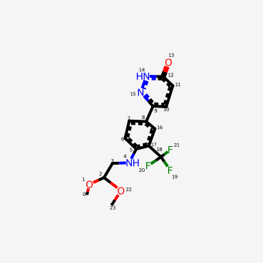 COC(CNc1ccc(-c2ccc(=O)[nH]n2)cc1C(F)(F)F)OC